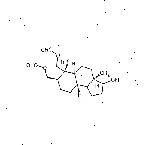 C[C@]1(COC=O)[C@H](COC=O)CC[C@@H]2[C@@H]1CC[C@]1(C)C(O)CC[C@@H]21